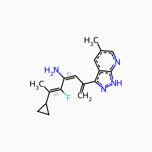 C=C(/C=C(N)\C(F)=C(/C)C1CC1)c1n[nH]c2ncc(C)cc12